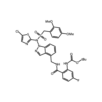 COc1ccc(CS(=O)(=O)N(c2ncc(Cl)s2)n2ncc3c(CNC(=O)c4ccc(F)cc4NC(=O)OC(C)(C)C)cccc32)c(OC)c1